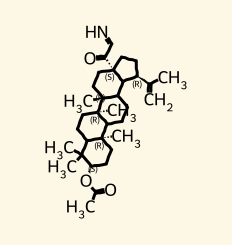 C=C(C)[C@@H]1CC[C@]2(C(=O)C=N)CC[C@]3(C)C(CCC4[C@@]5(C)CC[C@H](OC(C)=O)C(C)(C)C5CC[C@]43C)C12